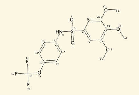 COc1cc(S(=O)(=O)Nc2ccc(OC(F)(F)F)cc2)cc(OC)c1OC